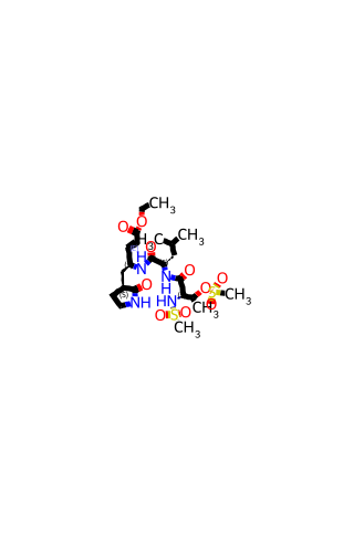 CCOC(=O)/C=C/[C@H](C[C@@H]1CCNC1=O)NC(=O)[C@H](CC(C)C)NC(=O)[C@@H](NS(C)(=O)=O)C(C)OS(C)(=O)=O